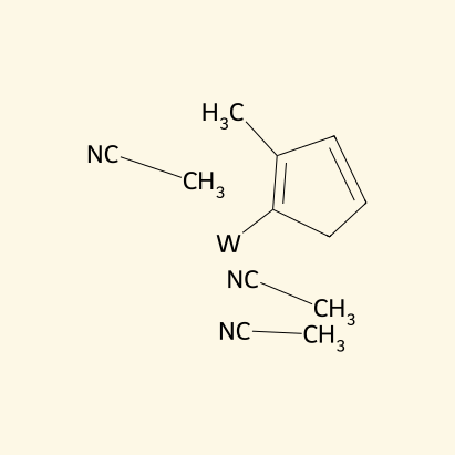 CC#N.CC#N.CC#N.CC1=[C]([W])CC=C1